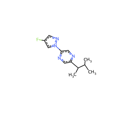 CC(C)C(C)c1cnc(-n2cc(F)cn2)cn1